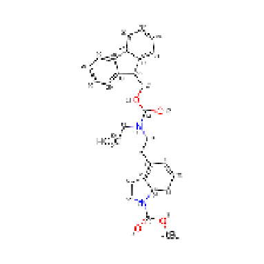 CC(C)(C)OC(=O)n1ccc2c(CCN(CC(=O)O)C(=O)OCC3c4ccccc4-c4ccccc43)cccc21